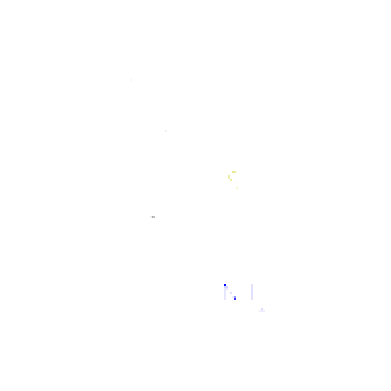 CC1(C)CC=C(N)S1